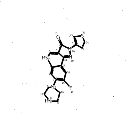 O=c1c2c[nH]c3cc(N4CCNCC4)c(F)cc3c-2nn1C1=CSCC1